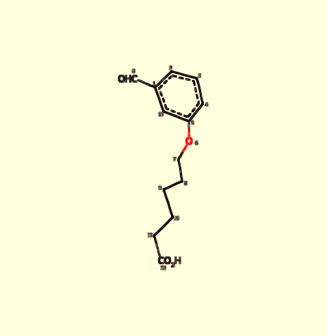 O=Cc1cccc(OCCCCCC(=O)O)c1